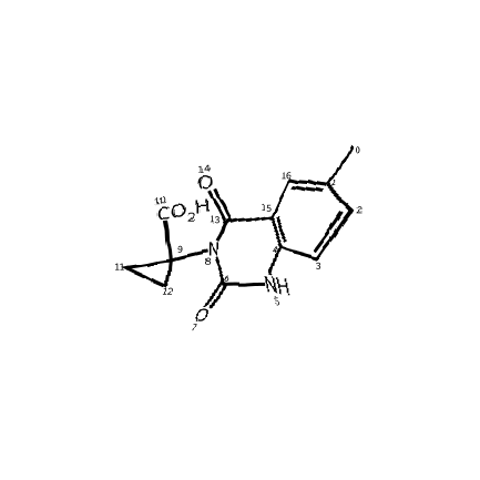 Cc1ccc2[nH]c(=O)n(C3(C(=O)O)CC3)c(=O)c2c1